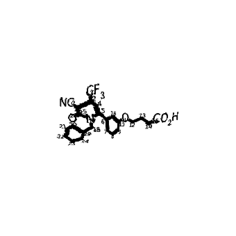 N#Cc1c(C(F)(F)F)cc(-c2cccc(OCCCC(=O)O)c2)n(Cc2ccccc2)c1=O